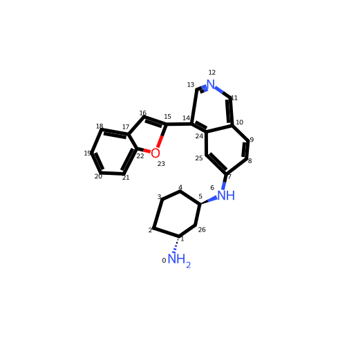 N[C@@H]1CCC[C@@H](Nc2ccc3cncc(-c4cc5ccccc5o4)c3c2)C1